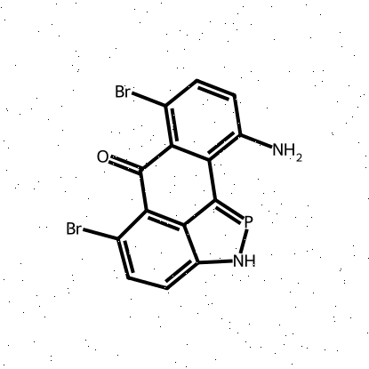 Nc1ccc(Br)c2c1-c1p[nH]c3ccc(Br)c(c13)C2=O